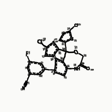 N#Cc1cc(F)cc(-c2ccc3c(c2)C(c2ccc(Cl)s2)(c2ccc(Cl)s2)OCC(=O)N3)c1